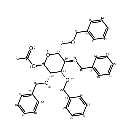 CC(=O)O[C@H]1O[C@H](COCc2ccccc2)[C@@H](OCc2ccccc2)[C@H](OCc2ccccc2)[C@@H]1OCc1ccccc1